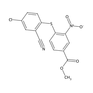 COC(=O)c1ccc(Sc2ccc(Cl)cc2C#N)c([N+](=O)[O-])c1